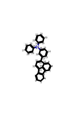 C1=CC2=C(CC1)c1cccc3c(-c4cccc(N(c5ccccc5)c5ccccc5)c4)ccc2c13